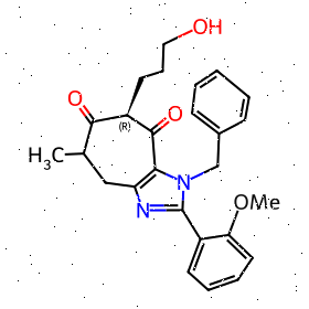 COc1ccccc1-c1nc2c(n1Cc1ccccc1)C(=O)[C@H](CCCO)C(=O)C(C)C2